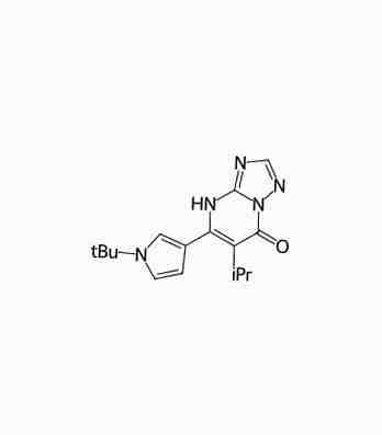 CC(C)c1c(-c2ccn(C(C)(C)C)c2)[nH]c2ncnn2c1=O